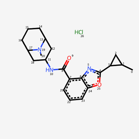 CC1CC1c1nc2c(C(=O)NC3CC4CCCC(C3)N4C)cccc2o1.Cl